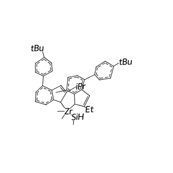 CCC1=Cc2c(-c3ccc(C(C)(C)C)cc3)ccc(C)c2[CH]1[Zr]([CH3])([CH3])([CH]1C(C(C)C)=Cc2c(-c3ccc(C(C)(C)C)cc3)cccc21)[SiH](C)C